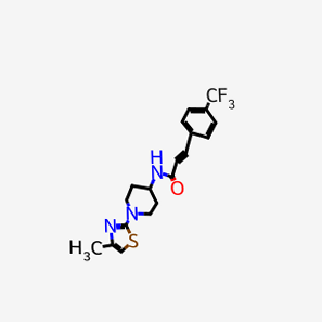 Cc1csc(N2CCC(NC(=O)C#Cc3ccc(C(F)(F)F)cc3)CC2)n1